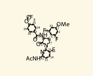 COc1cc(F)c([C@@H]2CN(c3nc(NC(C)=O)ccc3F)C(=O)[C@H]2NC(=O)c2ccc(OC(F)(F)F)cc2)c(F)c1